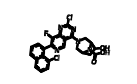 O=C(O)N1C2CC(O)C1CN(c1nc(Cl)nc3c(F)c(-c4cccc5cccc(Cl)c45)ncc13)C2